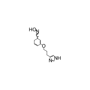 ON=C=C1C=C(OCCCc2c[nH]cn2)C=CC1